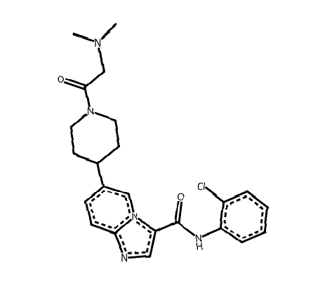 CN(C)CC(=O)N1CCC(c2ccc3ncc(C(=O)Nc4ccccc4Cl)n3c2)CC1